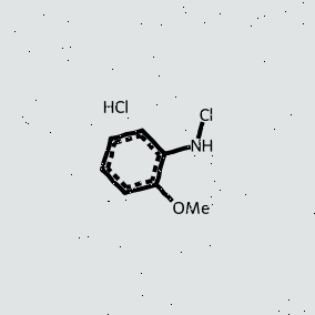 COc1ccccc1NCl.Cl